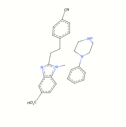 Cn1c(CCc2ccc(C#N)cc2)nc2cc(C(=O)O)ccc21.c1ccc(N2CCNCC2)cc1